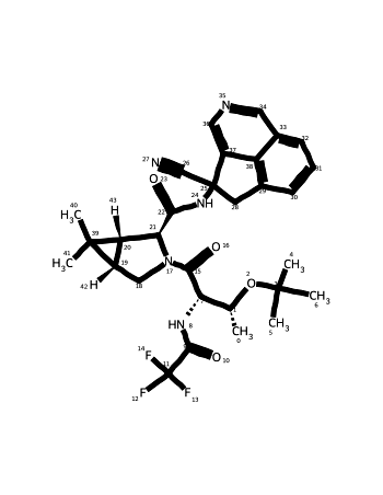 C[C@@H](OC(C)(C)C)[C@H](NC(=O)C(F)(F)F)C(=O)N1C[C@H]2[C@@H]([C@H]1C(=O)NC1(C#N)Cc3cccc4cncc1c34)C2(C)C